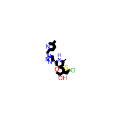 Cc1ccc(Cn2cc([C@@H]3C[C@]4(C[C@H](C)N3)OC[C@@H](O)c3cc(Cl)sc34)nn2)nc1